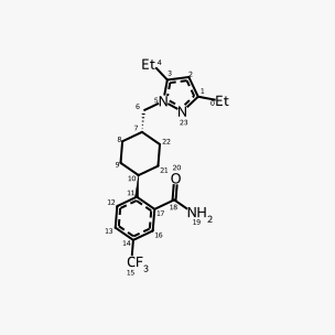 CCc1cc(CC)n(C[C@H]2CC[C@H](c3ccc(C(F)(F)F)cc3C(N)=O)CC2)n1